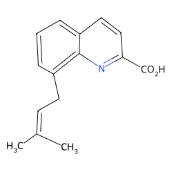 CC(C)=CCc1cccc2ccc(C(=O)O)nc12